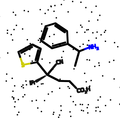 CC(C)[C@](C#N)(CCC(=O)O)c1cccs1.CC(N)c1ccccc1